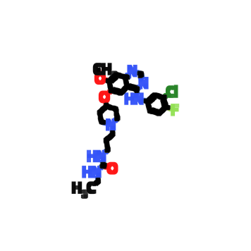 CCNC(=O)NCCCN1CCC(Oc2cc3c(Nc4ccc(F)c(Cl)c4)ncnc3cc2OC)CC1